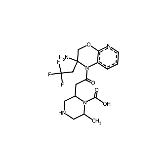 CC1CNCC(CC(=O)N2c3cccnc3OCC2(N)CC(F)(F)F)N1C(=O)O